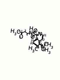 CC(=O)CCNS(=O)(=O)c1nccc2c(N(C)C)c(C)ccc12